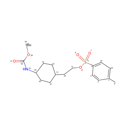 Cc1ccc(S(=O)(=O)OCCC2CCC(NC(=O)OC(C)(C)C)CC2)cc1